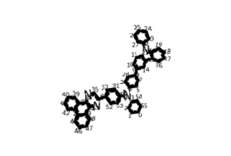 c1ccc(N(c2ccc(-c3ccc4c(c3)c3ccccc3n4-c3ccccc3)cc2)c2ccc(-c3cnc4c5ccccc5c5ccccc5c4n3)cc2)cc1